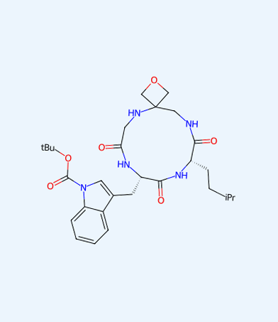 CC(C)CC[C@@H]1NC(=O)[C@H](Cc2cn(C(=O)OC(C)(C)C)c3ccccc23)NC(=O)CNC2(CNC1=O)COC2